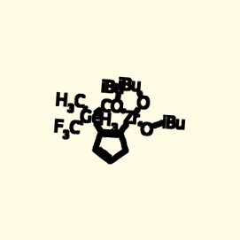 CCC(C)[O][Zr]([O]C(C)CC)([O]C(C)CC)[C]1=[C]([Ge]([CH3])([CH3])[C](F)(F)F)C=CC1